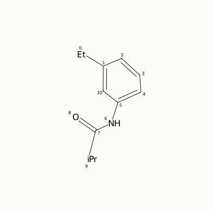 CCc1cccc(NC(=O)C(C)C)c1